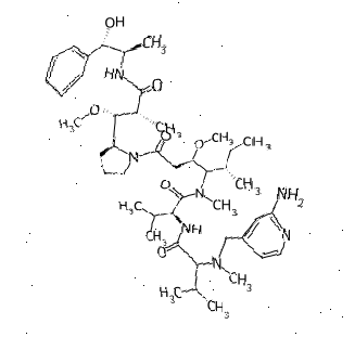 CC[C@H](C)C([C@@H](CC(=O)N1CCC[C@H]1[C@H](OC)[C@@H](C)C(=O)N[C@H](C)[C@@H](O)c1ccccc1)OC)N(C)C(=O)[C@@H](NC(=O)C(C(C)C)N(C)Cc1ccnc(N)c1)C(C)C